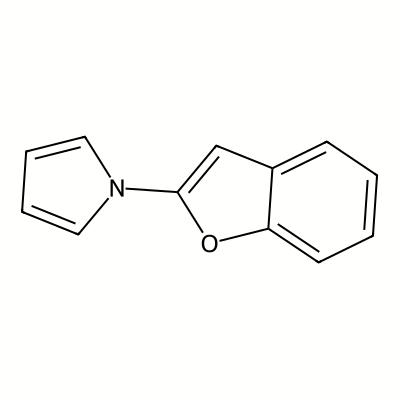 c1ccc2oc(-n3cccc3)cc2c1